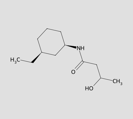 CC[C@H]1CCC[C@@H](NC(=O)CC(C)O)C1